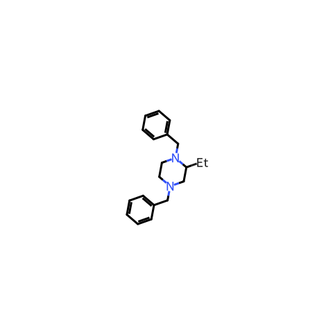 CCC1CN(Cc2ccccc2)CCN1Cc1ccccc1